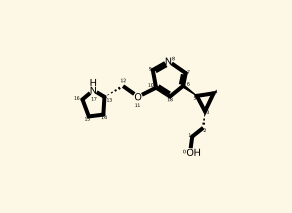 OCC[C@H]1C[C@@H]1c1cncc(OC[C@@H]2CCCN2)c1